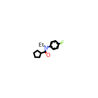 [CH2]CN(C(=O)C1CCCC1)c1ccc(F)cc1